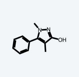 Cc1c(O)nn(C)c1-c1ccccc1